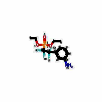 CCOP(=O)(OCC)C(F)(F)C(F)(F)c1cccc(N)c1